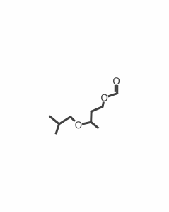 CC(C)COC(C)CCOC=O